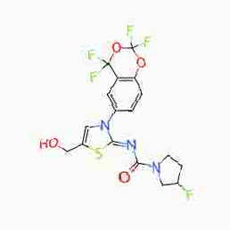 O=C(/N=c1\sc(CO)cn1-c1ccc2c(c1)C(F)(F)OC(F)(F)O2)N1CC[C@@H](F)C1